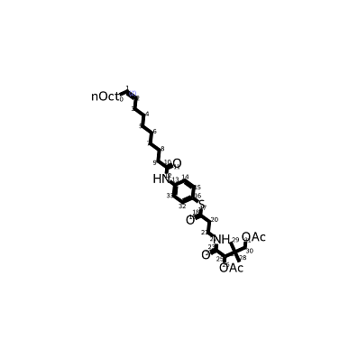 CCCCCCCC/C=C\CCCCCCCC(=O)Nc1ccc(SC(=O)CCNC(=O)C(OC(C)=O)C(C)(C)COC(C)=O)cc1